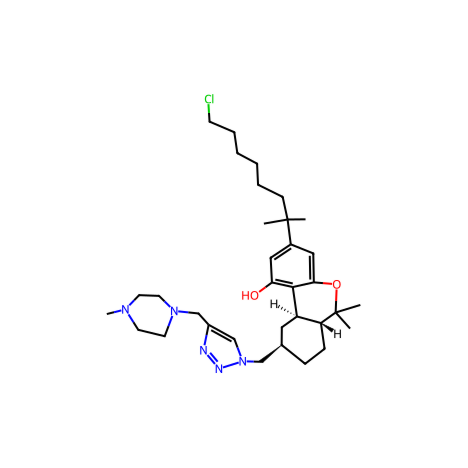 CN1CCN(Cc2cn(C[C@@H]3CC[C@@H]4[C@@H](C3)c3c(O)cc(C(C)(C)CCCCCCCl)cc3OC4(C)C)nn2)CC1